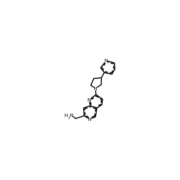 NCc1cc2nc(N3CCC(c4cccnc4)C3)ccc2cn1